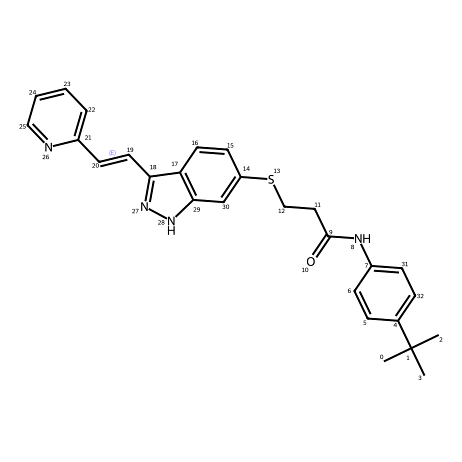 CC(C)(C)c1ccc(NC(=O)CCSc2ccc3c(/C=C/c4ccccn4)n[nH]c3c2)cc1